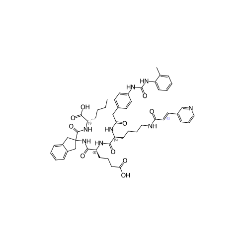 CCCC[C@H](NC(=O)C1(NC(=O)[C@H](CCCC(=O)O)NC(=O)[C@H](CCCCNC(=O)/C=C/c2cccnc2)NC(=O)Cc2ccc(NC(=O)Nc3ccccc3C)cc2)Cc2ccccc2C1)C(=O)O